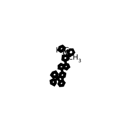 CC12CCCCC1(C)N(c1ccccc1)c1ccc(-c3cccc4c(-c5ccc6c(c5)C(c5ccccc5)(c5ccccc5)c5ccccc5-6)cccc34)cc12